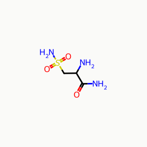 NC(=O)C(N)CS(N)(=O)=O